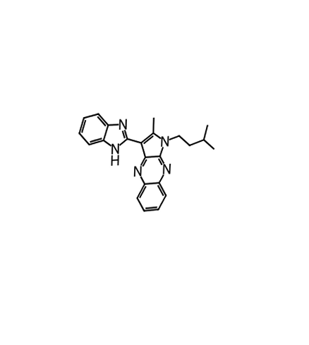 Cc1c(-c2nc3ccccc3[nH]2)c2nc3ccccc3nc2n1CCC(C)C